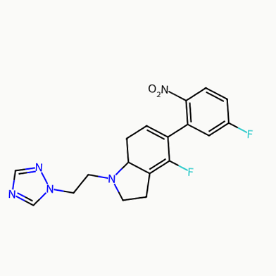 O=[N+]([O-])c1ccc(F)cc1C1=CCC2C(=C1F)CCN2CCn1cncn1